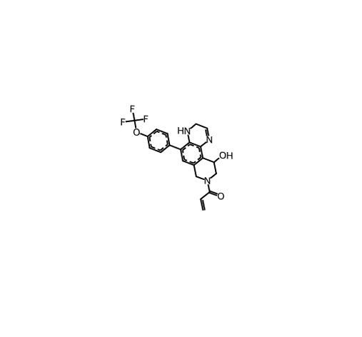 C=CC(=O)N1Cc2cc(-c3ccc(OC(F)(F)F)cc3)c3c(c2C(O)C1)N=CCN3